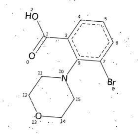 O=C(O)c1cccc(Br)c1N1CCOCC1